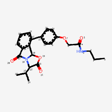 CCCNC(=O)COc1ccc(-c2cccc3c2C2OC(=O)C(C(C)C)N2C3=O)cc1